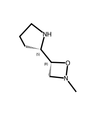 CN1C[C@H]([C@@H]2CCCN2)O1